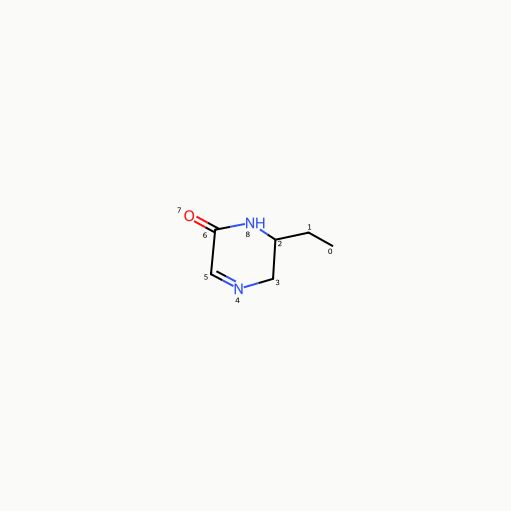 CCC1CN=CC(=O)N1